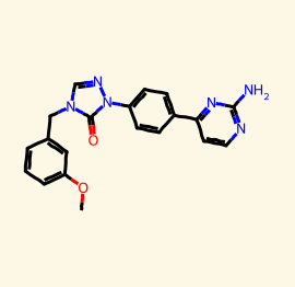 COc1cccc(Cn2cnn(-c3ccc(-c4ccnc(N)n4)cc3)c2=O)c1